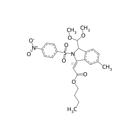 CCCCOC(=O)/C=C1\c2cc(C)ccc2C(C(OC)OC)N1S(=O)(=O)c1ccc([N+](=O)[O-])cc1